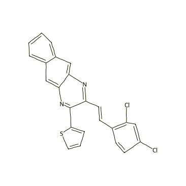 Clc1ccc(C=Cc2nc3cc4ccccc4cc3nc2-c2cccs2)c(Cl)c1